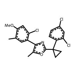 COc1cc(Cl)c(-c2nc(C3(c4ccc(Cl)cc4Cl)CC3)oc2C)cc1C